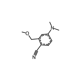 COCc1cc(N(C)C)ccc1C#N